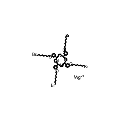 BrCCCCCCCCOc1cccc(C2=C3C=CC(=N3)C(c3cccc(OCCCCCCCCBr)c3)=C3C=CC(=N3)C(c3cccc(OCCCCCCCCBr)c3)=C3C=CC(=N3)C(c3cccc(OCCCCCCCCBr)c3)=C3C=CC2=N3)c1.[Mg+2]